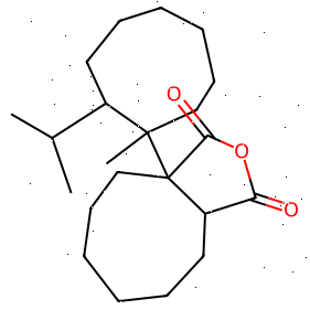 CC(C)C1CCCCCCC1(C)C12CCCCCCC1C(=O)OC2=O